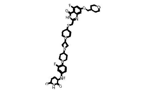 O=C1CCC(Nc2ccc(N3CCC(N4CC(N5CCC(SCc6nc7cc(OCC8CCOCC8)cc(F)c7c(=O)[nH]6)CC5)C4)CC3)c(F)c2)C(=O)N1